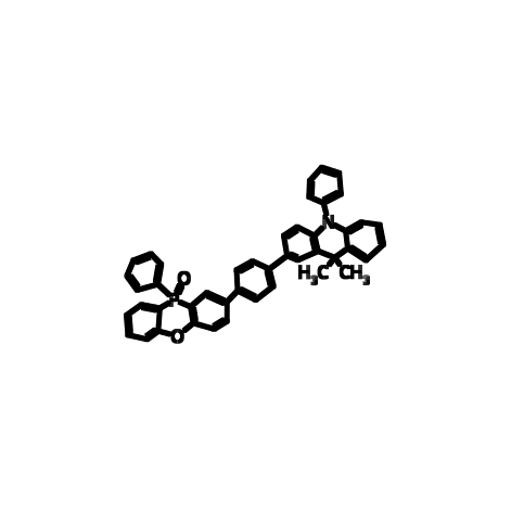 CC1(C)c2ccccc2N(c2ccccc2)c2ccc(-c3ccc(-c4ccc5c(c4)P(=O)(c4ccccc4)c4ccccc4O5)cc3)cc21